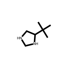 CC(C)(C)C1CNCN1